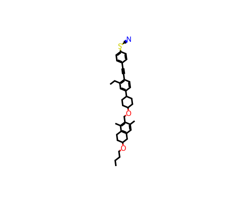 CCCCOC1CCc2c(cc(C)c(COC3CCC(c4ccc(C#Cc5ccc(SC#N)cc5)c(CC)c4)CC3)c2C)C1